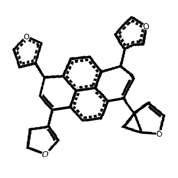 C1=CC2(C3=CC(c4ccoc4)c4ccc5c6c(ccc3c46)C(C3=COCC3)=CC5c3ccoc3)CC2O1